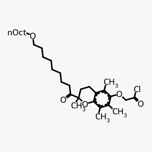 CCCCCCCCOCCCCCCCCC(=O)C1(C)CCc2c(C)c(OCC(=O)Cl)c(C)c(C)c2O1